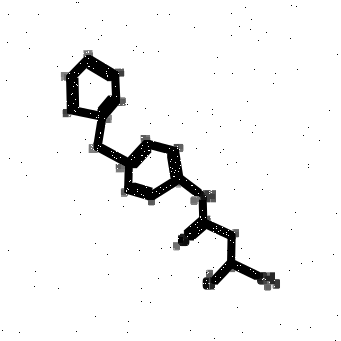 CC(Cl)CC(=O)Nc1ccc(Cc2ccccc2)cc1